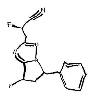 N#C[C@H](F)c1nc2n(n1)C(c1ccccc1)CC2F